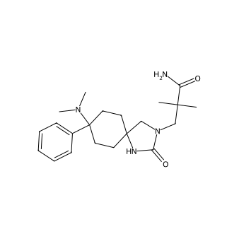 CN(C)C1(c2ccccc2)CCC2(CC1)CN(CC(C)(C)C(N)=O)C(=O)N2